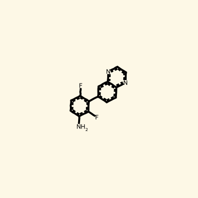 Nc1ccc(F)c(-c2ccc3nccnc3c2)c1F